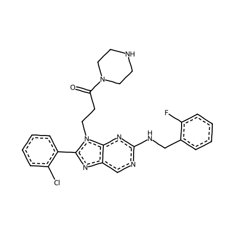 O=C(CCn1c(-c2ccccc2Cl)nc2cnc(NCc3ccccc3F)nc21)N1CCNCC1